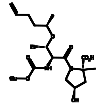 C=CCC[C@@H](C)O[C@@H](CC)[C@H](NC(=O)OC(C)(C)C)C(=O)N1C[C@H](O)C[C@@]1(C)C(=O)O